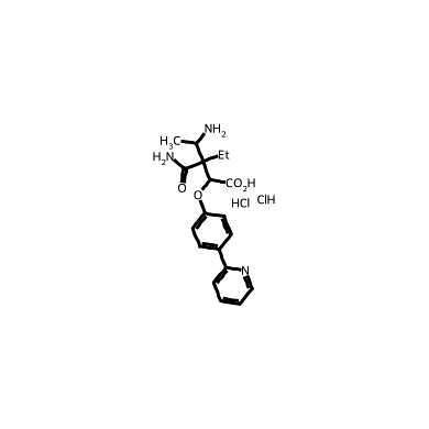 CCC(C(N)=O)(C(C)N)C(Oc1ccc(-c2ccccn2)cc1)C(=O)O.Cl.Cl